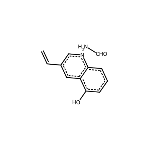 C=Cc1cnc2cccc(O)c2c1.NC=O